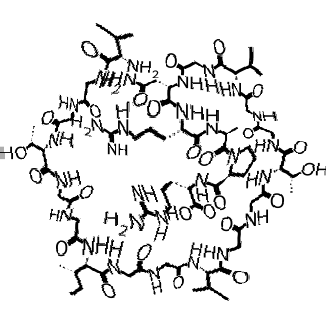 CC[C@H](C)[C@H](NC(=O)CNC(=O)CNC(=O)[C@@H](NC(=O)CNC(=O)CNC(=O)[C@@H](N)C(C)C)[C@@H](C)O)C(=O)NCC(=O)NCC(=O)N[C@H](C(=O)NCC(=O)NCC(=O)N[C@H](C(=O)NCC(=O)NCC(=O)N[C@H](C(=O)NCC(=O)N[C@@H](CC(N)=O)C(=O)N[C@@H](CCCNC(=N)N)C(=O)N[C@@H](C)C(=O)N1CCC[C@H]1C(=O)N[C@@H](CCCNC(=N)N)C(=O)O)C(C)C)[C@@H](C)O)C(C)C